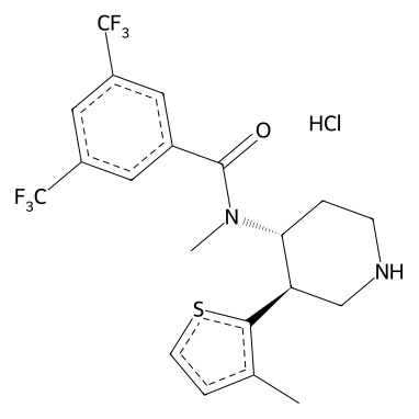 Cc1ccsc1[C@@H]1CNCC[C@H]1N(C)C(=O)c1cc(C(F)(F)F)cc(C(F)(F)F)c1.Cl